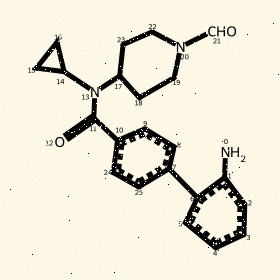 Nc1ccccc1-c1ccc(C(=O)N(C2CC2)C2CCN(C=O)CC2)cc1